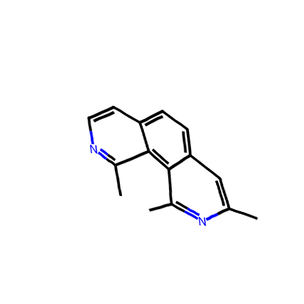 Cc1cc2ccc3ccnc(C)c3c2c(C)n1